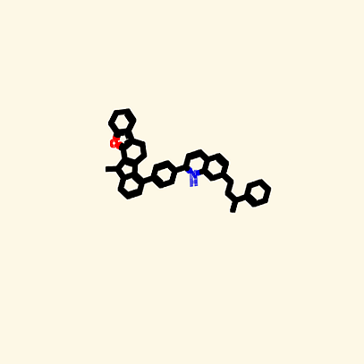 CC(CCC1C=CC2C=CC(C3C=CC(C4=C5C6=C(c7oc8c(c7CC6)C=CCC8)C(C)C5CC=C4)=CC3)NC2C1)C1=CCCCC1